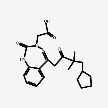 CC(C)(CC1CCCC1)C(=O)CC1=NN(CC(=O)O)C(=O)Nc2ccccc21